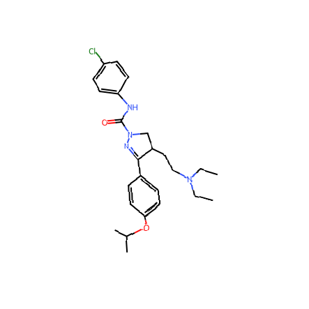 CCN(CC)CCC1CN(C(=O)Nc2ccc(Cl)cc2)N=C1c1ccc(OC(C)C)cc1